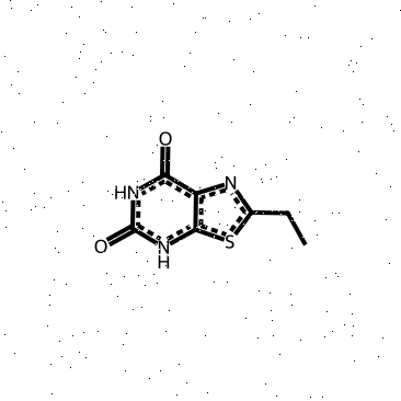 CCc1nc2c(=O)[nH]c(=O)[nH]c2s1